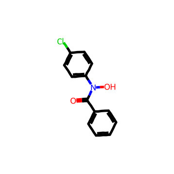 O=C(c1ccccc1)N(O)c1ccc(Cl)cc1